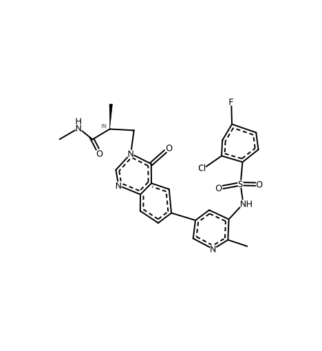 CNC(=O)[C@@H](C)Cn1cnc2ccc(-c3cnc(C)c(NS(=O)(=O)c4ccc(F)cc4Cl)c3)cc2c1=O